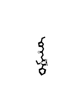 CCC1=CC=C(CC(=O)CCc2nnc(-c3ccccc3)n2CC)C1